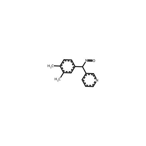 Cc1ccc(C(N=O)c2cccnc2)cc1C